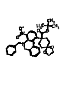 CC(C)(C)OC(=O)C1(c2ccc([N+](=O)[O-])c(N(Cc3ccccc3)Cc3ccccc3)c2F)CCC2(CC1)OCCO2